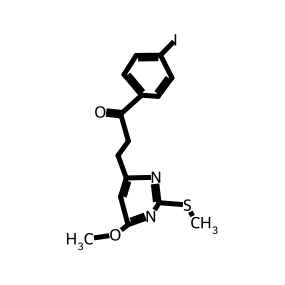 COc1cc(CCC(=O)c2ccc(I)cc2)nc(SC)n1